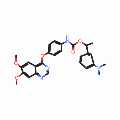 COc1cc2ncnc(Oc3ccc(NC(=O)OC(C)c4cccc(N(C)C)c4)cc3)c2cc1OC